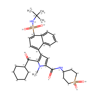 Cn1c(C(=O)NC2CCS(=O)(=O)CC2)cc(-c2ccc(S(=O)(=O)NC(C)(C)C)c3ccccc23)c1C(=O)C1CCCCC1